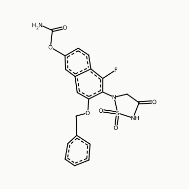 NC(=O)Oc1ccc2c(F)c(N3CC(=O)NS3(=O)=O)c(OCc3ccccc3)cc2c1